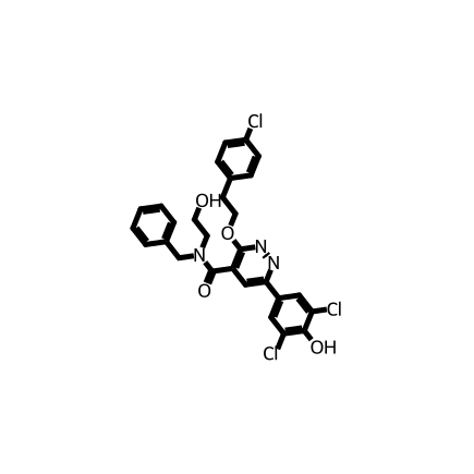 O=C(c1cc(-c2cc(Cl)c(O)c(Cl)c2)nnc1OCCc1ccc(Cl)cc1)N(CCO)Cc1ccccc1